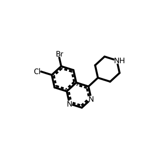 Clc1cc2ncnc(C3CCNCC3)c2cc1Br